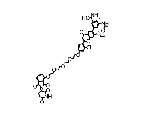 CCOc1cc2oc(-c3ccc(OCCOCCOCCOCCOc4cccc5c4C(=O)N(C4CCC(=O)NC4=O)C5=O)cc3Cl)cc(=O)c2cc1-c1cc(NC(C)=O)cc(C(N)O)c1